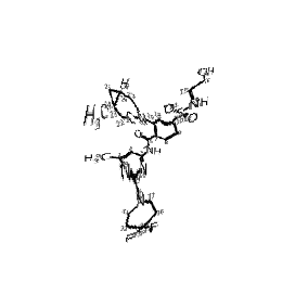 Cc1cc(NC(=O)c2ccc(S(=O)(=O)NCCO)cc2N2CC[C@@]3(C)C[C@H]3C2)nc(N2CCC(F)(F)CC2)n1